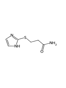 NC(=O)CCSc1ncc[nH]1